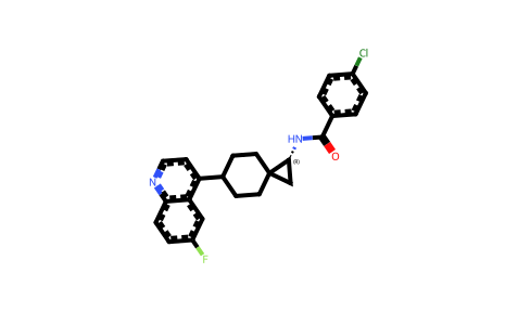 O=C(N[C@@H]1CC12CCC(c1ccnc3ccc(F)cc13)CC2)c1ccc(Cl)cc1